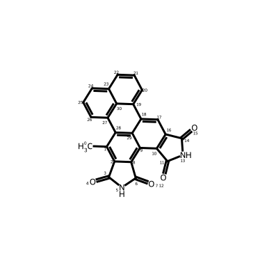 Cc1c2c(=O)[nH]c(=O)c2c2c3c(=O)[nH]c(=O)c3cc3c4cccc5cccc(c1c32)c54